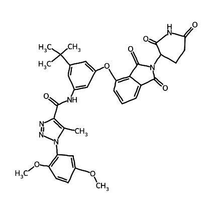 COc1ccc(OC)c(-n2nnc(C(=O)Nc3cc(Oc4cccc5c4C(=O)N(C4CCC(=O)NC4=O)C5=O)cc(C(C)(C)C)c3)c2C)c1